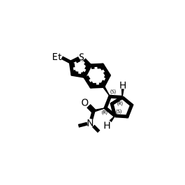 CCc1cc2cc([C@H]3[C@@H]4CC[C@@H](C4)[C@H]3C(=O)N(C)C)ccc2s1